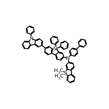 C[Si]1(C)c2ccccc2-c2ccc(N(c3ccc(-c4ccccc4)cc3)c3ccc4c(c3)[Si](c3ccccc3)(c3ccccc3)c3cc(-c5ccc6c(c5)c5ccccc5n6-c5ccccc5)ccc3-4)cc21